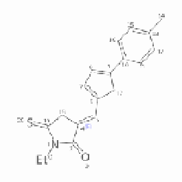 CCN1C(=O)/C(=C/C2=CC=C(c3ccc(C)cc3)C2)CC1=S